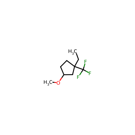 CCC1(C(F)(F)F)CCC(OC)C1